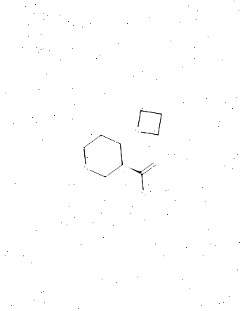 NC(=O)[C@H]1CNCC[C@@H]1N1CCC1